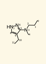 CCCN(C)c1n[nH]cc1CC